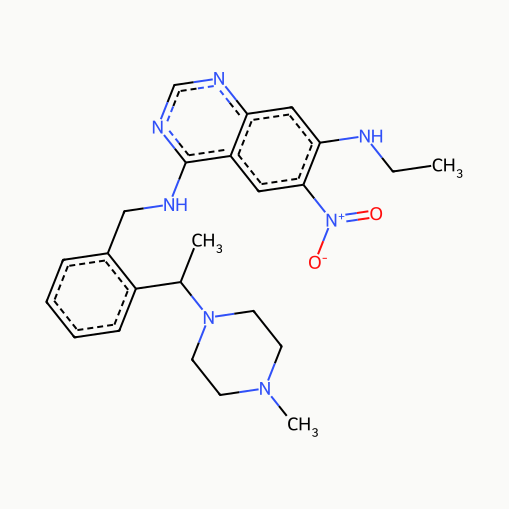 CCNc1cc2ncnc(NCc3ccccc3C(C)N3CCN(C)CC3)c2cc1[N+](=O)[O-]